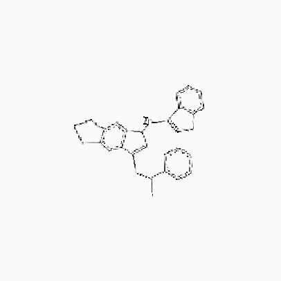 CC(CC1=C[CH]([Zr][C]2=CCc3ccccc32)c2cc3c(cc21)CCC3)c1ccccc1